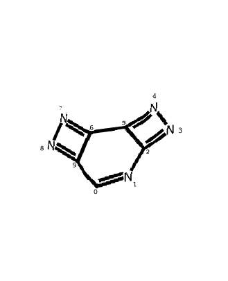 c1nc2nnc2c2nnc12